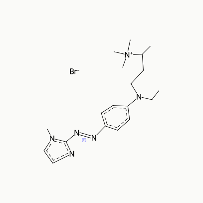 CCN(CCC(C)[N+](C)(C)C)c1ccc(/N=N/c2nccn2C)cc1.[Br-]